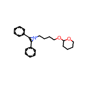 c1ccc(C2=C(c3ccccc3)N2CCCCOC2CCCCO2)cc1